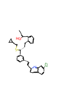 CCC(O)c1ccccc1CC[C@@H](SCC1CC1)c1cccc(C=Cc2ccc3ccc(Cl)cc3n2)c1